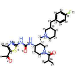 CC(=O)c1sc(NC(=O)N[C@@H]2CCN(C(=O)C(C)C)C[C@H]2CN2CCCC(Cc3ccc(F)cc3)C2)nc1C